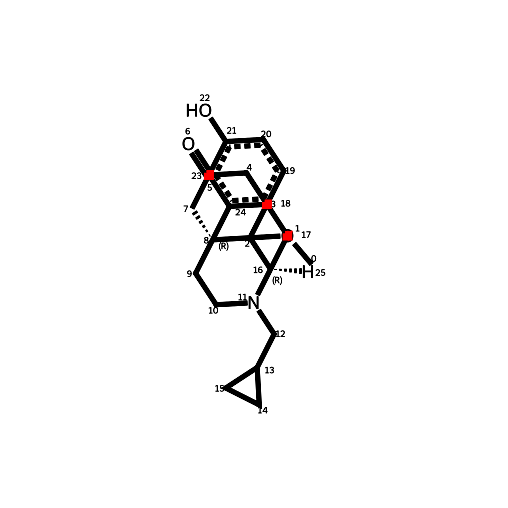 COC12CCC(=O)C[C@@]13CCN(CC1CC1)[C@@H]2Cc1ccc(O)cc13